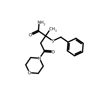 CC(CC(=O)N1CCOCC1)(SCc1ccccc1)C(N)=O